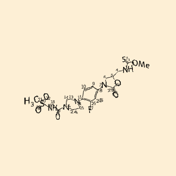 COC(=S)NCC1CN(c2ccc(N3CCN(C(=O)CNS(C)(=O)=O)CC3)c(F)c2)C(=O)O1